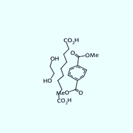 COC(=O)c1ccc(C(=O)OC)cc1.O=C(O)CCCCCCCCC(=O)O.OCCO